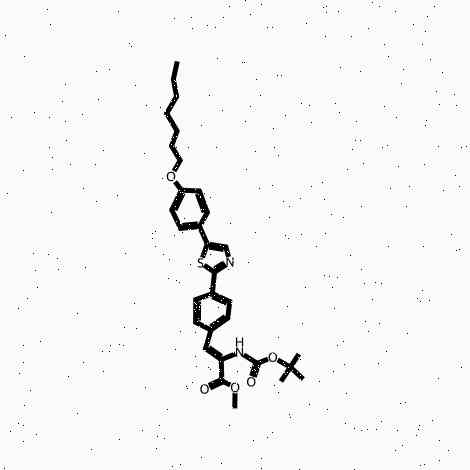 CCCCCCCOc1ccc(-c2cnc(-c3ccc(/C=C(\NC(=O)OC(C)(C)C)C(=O)OC)cc3)s2)cc1